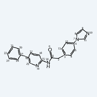 O=C(Cc1ccc(-n2ccnc2)cc1)Nc1ccc(-c2ccccc2)cn1